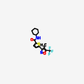 Cc1c(-c2ccc(C(=O)NC3CCCCC3)s2)noc1C(F)(F)F